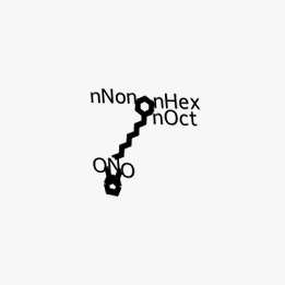 CCCCCCCCCC1CC(CCCCCC)C(CCCCCCCC)C(CCCCCCCCN2C(=O)C3C4C=CC(C4)C3C2=O)C1